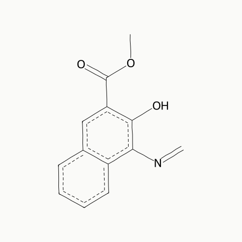 C=Nc1c(O)c(C(=O)OC)cc2ccccc12